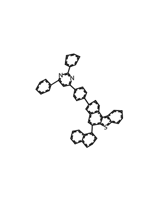 c1ccc(-c2cc(-c3ccc(-c4ccc5c(c4)cc(-c4cccc6ccccc46)c4sc6ccccc6c45)cc3)nc(-c3ccccc3)n2)cc1